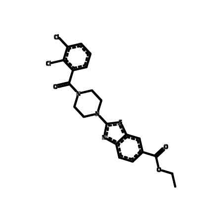 CCOC(=O)c1ccc2nc(N3CCN(C(=O)c4cccc(Cl)c4Cl)CC3)sc2c1